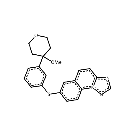 COC1(c2cccc(Sc3ccc4c(ccc5ncnn54)c3)c2)CCOCC1